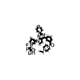 CCN1CCN(C(=O)c2cccc(-c3nc(N4CCOCC4)nc4c3CCN4c3cccnc3)c2)CC1.O=C(O)C(F)(F)F